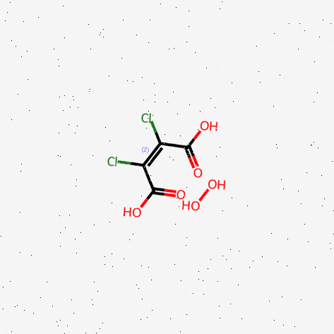 O=C(O)/C(Cl)=C(/Cl)C(=O)O.OO